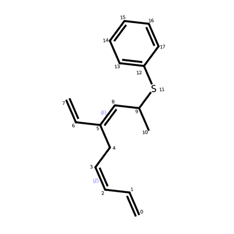 C=C/C=C\C/C(C=C)=C\C(C)Sc1ccccc1